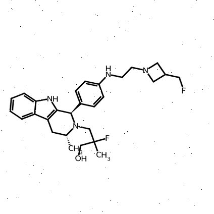 C[C@@H]1Cc2c([nH]c3ccccc23)[C@@H](c2ccc(NCCN3CC(CF)C3)cc2)N1CC(C)(F)CO